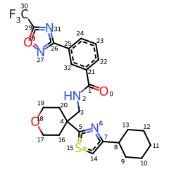 O=C(NCC1(c2nc(C3CCCCC3)cs2)CCOCC1)c1cccc(-c2noc(C(F)(F)F)n2)c1